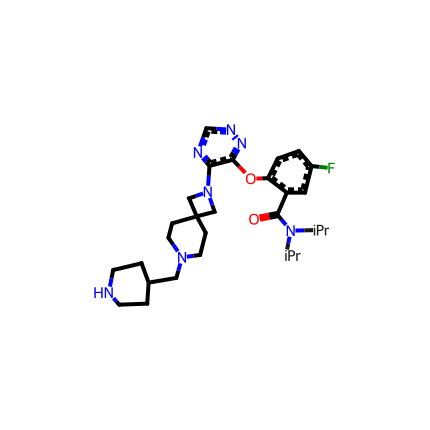 CC(C)N(C(=O)c1cc(F)ccc1Oc1nncnc1N1CC2(CCN(CC3CCNCC3)CC2)C1)C(C)C